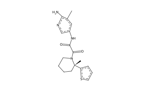 Cc1cc(NC(=O)C(=O)N2CCCC[C@@]2(C)c2cccs2)cnc1N